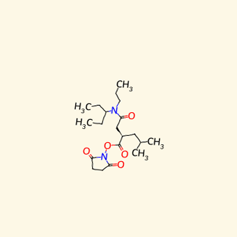 CCCN(C(=O)C[C@@H](CC(C)C)C(=O)ON1C(=O)CCC1=O)C(CC)CC